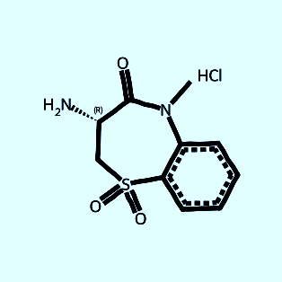 CN1C(=O)[C@@H](N)CS(=O)(=O)c2ccccc21.Cl